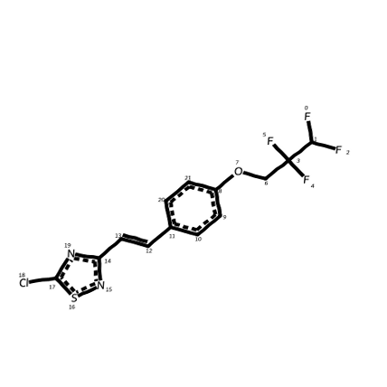 FC(F)C(F)(F)COc1ccc(C=Cc2nsc(Cl)n2)cc1